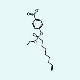 C=CCCCCCCP(=O)(OCC)Oc1ccc([N+](=O)[O-])cc1